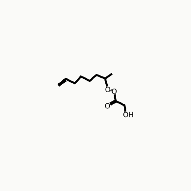 C=CCCCCC(C)OOC(=O)CO